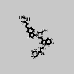 O=C(/C=C/c1ccc2c(c1)CCC2N(CCO)CCc1cn(CCC(=O)N2CCOCC2)c2ccccc12)NO